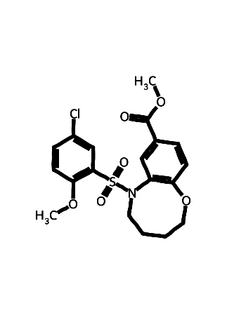 COC(=O)c1ccc2c(c1)N(S(=O)(=O)c1cc(Cl)ccc1OC)CCCCO2